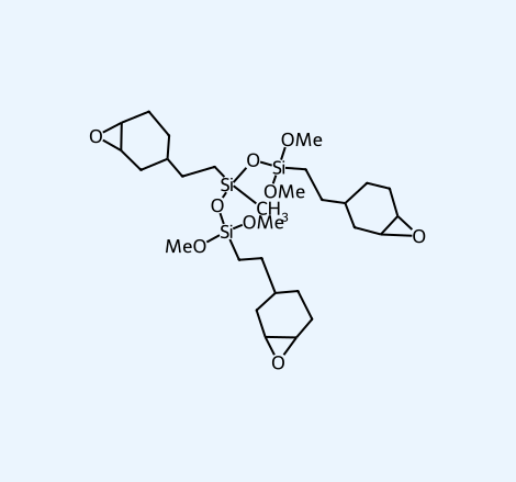 CO[Si](CCC1CCC2OC2C1)(OC)O[Si](C)(CCC1CCC2OC2C1)O[Si](CCC1CCC2OC2C1)(OC)OC